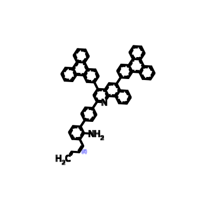 C=C/C=C\c1cccc(-c2ccc(-c3cc(-c4ccc5c6ccccc6c6ccccc6c5c4)c4cc(-c5ccc6c7ccccc7c7ccccc7c6c5)c5ccccc5c4n3)cc2)c1N